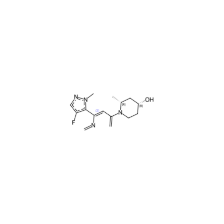 C=N/C(=C\C(=C)N1CC[C@@H](O)C[C@H]1C)c1c(F)cnn1C